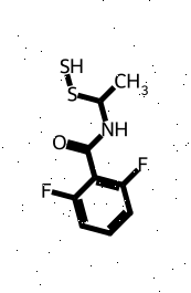 CC(NC(=O)c1c(F)cccc1F)SS